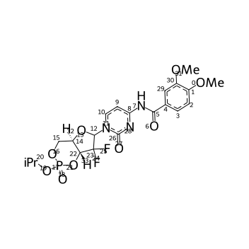 COc1ccc(C(=O)Nc2ccn(C3O[C@@H]4COP(=O)(OC(C)C)O[C@H]4C3(F)F)c(=O)n2)cc1OC